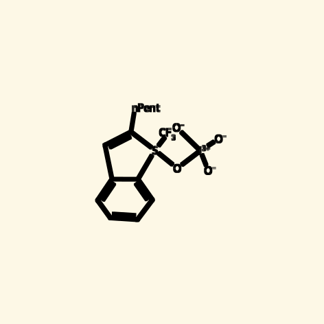 CCCCCC1=Cc2ccccc2S1(O[I+3]([O-])([O-])[O-])C(F)(F)F